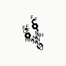 FC(F)Cc1ccc(/C=N/Nc2nc(Nc3ccc(OC(F)(F)F)cc3)nc(N3CCOCC3)n2)cc1